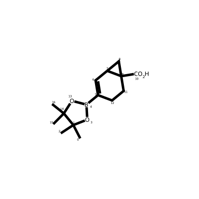 CC1(C)OB(C2=CC3CC3(C(=O)O)CC2)OC1(C)C